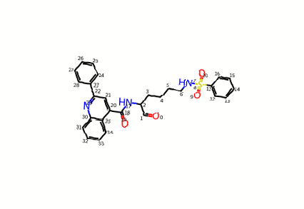 O=CC(CCCCNS(=O)(=O)c1ccccc1)NC(=O)c1cc(-c2ccccc2)nc2ccccc12